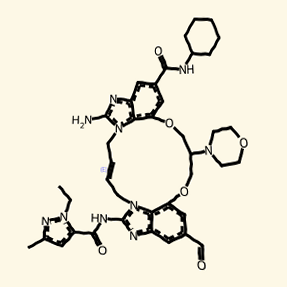 CCn1nc(C)cc1C(=O)Nc1nc2cc(C=O)cc3c2n1C/C=C/Cn1c(N)nc2cc(C(=O)NC4CCCCC4)cc(c21)OCC(N1CCOCC1)CO3